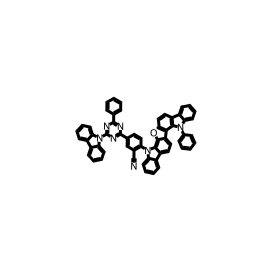 N#Cc1cc(-c2nc(-c3ccccc3)nc(-n3c4ccccc4c4ccccc43)n2)ccc1-n1c2ccccc2c2ccc3c(oc4ccc5c6ccccc6n(-c6ccccc6)c5c43)c21